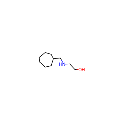 OCCNCC1CCCCCC1